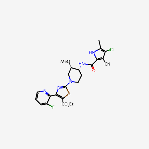 CCOC(=O)c1sc(N2CC[C@@H](NC(=O)c3[nH]c(C)c(Cl)c3C#N)[C@@H](OC)C2)nc1-c1ncccc1F